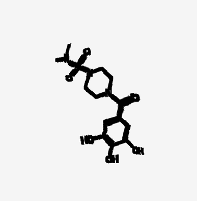 CN(C)S(=O)(=O)N1CCN(C(=O)c2cc(O)c(O)c(O)c2)CC1